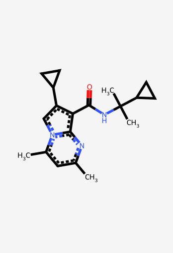 Cc1cc(C)n2cc(C3CC3)c(C(=O)NC(C)(C)C3CC3)c2n1